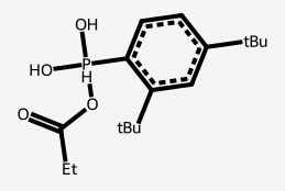 CCC(=O)O[PH](O)(O)c1ccc(C(C)(C)C)cc1C(C)(C)C